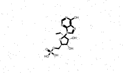 CC[C@@]1(n2cnc3c(O)ncnc32)O[C@H](COP(=O)(O)O)[C@@H](O)[C@H]1O